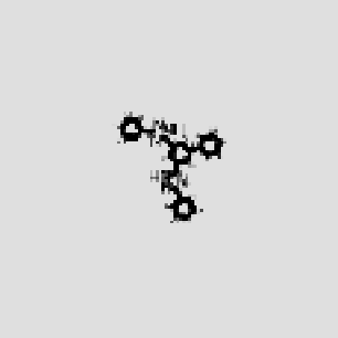 c1ccc(-c2cc(-c3nc(-c4ccccc4)n[nH]3)cc(-c3nc(-c4ccccc4)n[nH]3)c2)cc1